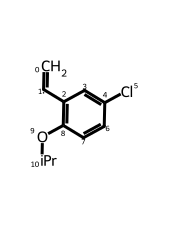 C=[C]c1cc(Cl)ccc1OC(C)C